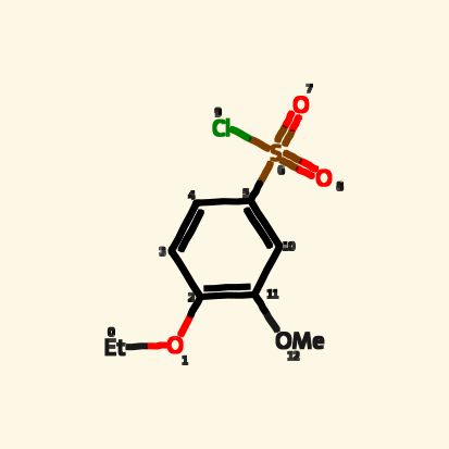 CCOc1ccc(S(=O)(=O)Cl)cc1OC